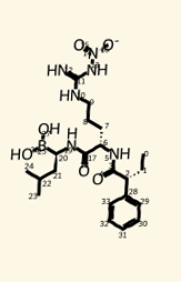 CC[C@@H](C(=O)N[C@@H](CCCNC(=N)N[N+](=O)[O-])C(=O)N[C@@H](CC(C)C)B(O)O)c1ccccc1